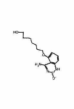 NC1=N[S+]([O-])Nc2cccc(OCCCCCCCO)c21